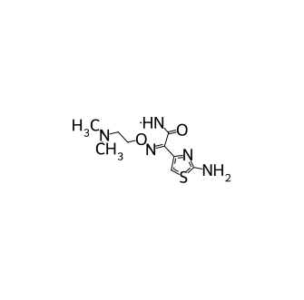 CN(C)CCON=C(C([NH])=O)c1csc(N)n1